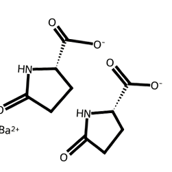 O=C1CC[C@@H](C(=O)[O-])N1.O=C1CC[C@@H](C(=O)[O-])N1.[Ba+2]